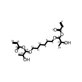 C=CC(=O)OC(OCCCCCCOC(OC(=O)C=C)C(C)O)C(C)O